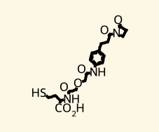 O=C(COCC(=O)NC(CCS)C(=O)O)Nc1ccc(CCC(=O)N2CCC2=O)cc1